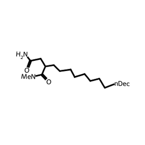 CCCCCCCCCCCCCCCCCCC(CC(N)=O)C(=O)NC